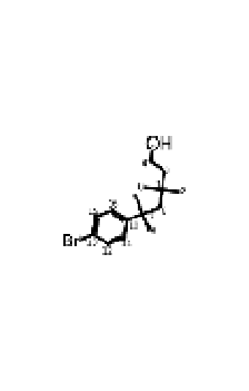 CC(C)(CCO)CC(C)(C)c1ccc(Br)cc1